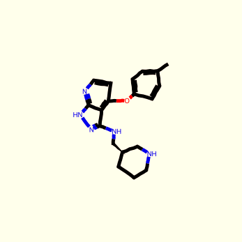 Cc1ccc(Oc2ccnc3[nH]nc(NC[C@@H]4CCCNC4)c23)cc1